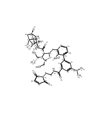 COc1c(CN2O[C@@H](CO)[C@@H]([C@H](C)O)[C@H]2C(=O)N[C@H]2C[C@H]3C[C@@H]([C@@H]2C)C3(C)C)cccc1-c1cc(C(=O)NCCN2C(=O)C=CC2=O)cc(N(C)C)c1